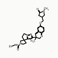 CCNC(=O)N1CCC2(CCn3nc(C4(C)C=c5cc(OCC6CC(=O)N(C)C6)ccc5=NC4)cc32)C1